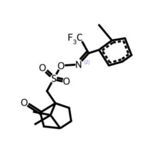 Cc1ccccc1/C(=N/OS(=O)(=O)CC12CCC(CC1=O)C2(C)C)C(F)(F)F